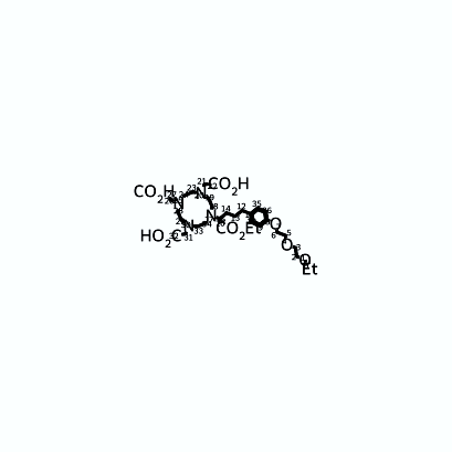 CCOCCOCCOc1ccc(CCCC(C(=O)OCC)N2CCN(CC(=O)O)CCN(CC(=O)O)CCN(CC(=O)O)CC2)cc1